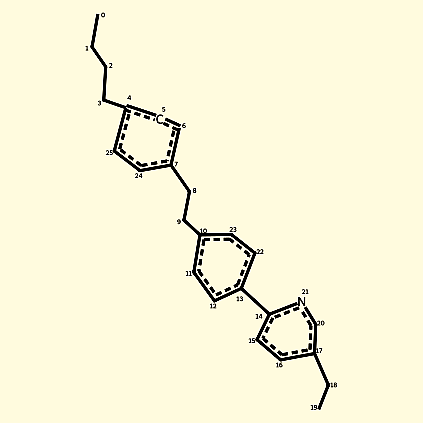 CCCCc1ccc(CCc2ccc(-c3ccc(CC)cn3)cc2)cc1